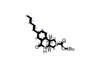 C/C=C/C=C/c1ccc2c(c1)C(=O)N[C@@H]1CN(C(=O)OC(C)(C)C)C[C@@H]21